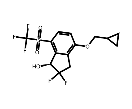 O=S(=O)(c1ccc(OCC2CC2)c2c1[C@H](O)C(F)(F)C2)C(F)(F)F